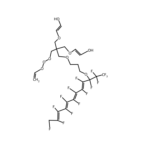 C=COOOCC(CO/C=C/O)(CO/C=C/O)COCCCOC(F)(/C(F)=C(F)/C(F)=C(F)/C(F)=C(F)/C(F)=C(\F)CF)C(F)(F)C(F)(F)F